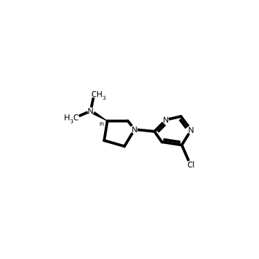 CN(C)[C@@H]1CCN(c2cc(Cl)ncn2)C1